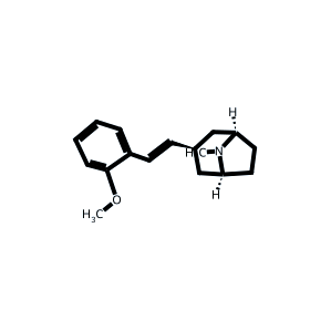 COc1ccccc1/C=C/[C@H]1C[C@H]2CC[C@@H](C1)N2C